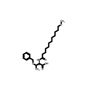 COCCCCCCCCCCCC(=O)N[C@@H](C(=O)O)C(C)OCc1ccccc1